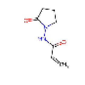 C=CC(=O)NN1CCCC1=O